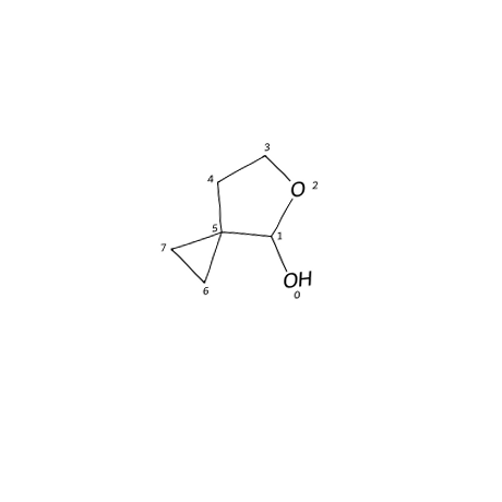 OC1OCCC12CC2